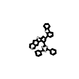 c1ccc(-c2nc(-c3ccccc3)nc(-c3cc(-c4cccc5c4sc4ccccc45)cc4oc5cc6ccncc6cc5c34)n2)cc1